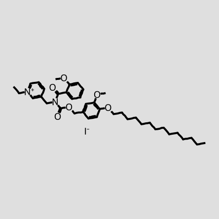 CCCCCCCCCCCCCCOc1ccc(COC(=O)N(Cc2ccc[n+](CC)c2)C(=O)c2ccccc2OC)cc1OC.[I-]